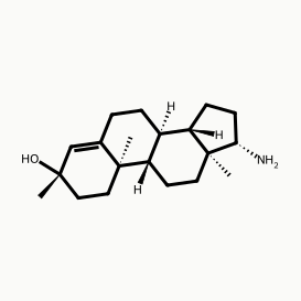 C[C@]12CC[C@H]3[C@@H](CCC4=C[C@@](C)(O)CC[C@@]43C)[C@@H]1CC[C@@H]2N